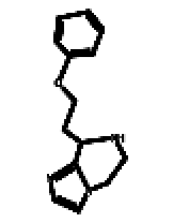 c1ccc(OCCC2NCCn3ccnc32)cc1